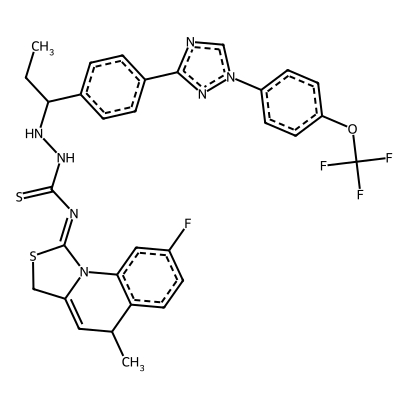 CCC(NNC(=S)/N=C1\SCC2=CC(C)c3ccc(F)cc3N21)c1ccc(-c2ncn(-c3ccc(OC(F)(F)F)cc3)n2)cc1